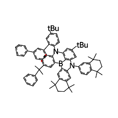 CC(C)(C)c1ccc(N2c3ccc(C(C)(C)c4ccccc4)cc3B3c4cc5c(cc4N(c4ccc6c(c4)C(C)(C)CCC6(C)C)c4cc(C(C)(C)C)cc2c43)C(C)(C)CCC5(C)C)c(-c2cccc(-c3ccccc3)c2)c1